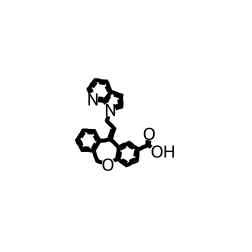 O=C(O)c1ccc2c(c1)/C(=C/Cn1ccc3cccnc31)c1ccccc1CO2